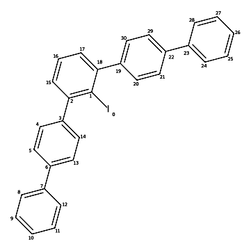 Ic1c(-c2ccc(-c3ccccc3)cc2)cccc1-c1ccc(-c2ccccc2)cc1